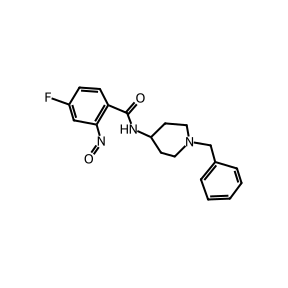 O=Nc1cc(F)ccc1C(=O)NC1CCN(Cc2ccccc2)CC1